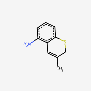 CC1=Cc2c(N)cccc2SC1